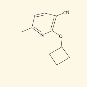 Cc1ccc(C#N)c(OC2CCC2)n1